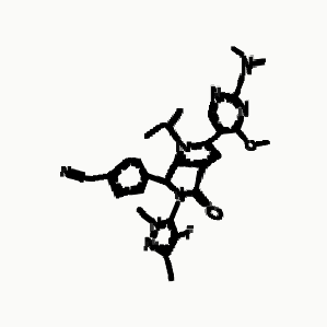 COc1nc(N(C)C)ncc1-c1cc2c(n1C(C)C)C(c1ccc(C#N)cc1)N(c1c(F)c(C)nn1C)C2=O